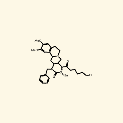 COc1cc2c(cc1OC)C1CC(N(Cc3ccccc3)C(=O)OC(C)(C)C)C(NC(=O)CCCCCCl)CN1CC2